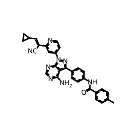 Cc1ccc(C(=O)Nc2ccc(-c3nn(-c4ccnc(/C(C#N)=C/C5CC5)c4)c4ncnc(N)c34)cc2)cc1